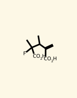 C=C(C(=O)O)C(C)C(C)(F)C(=O)O